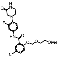 COCCOCOc1ccc(Cl)cc1C(=O)Nc1ccc(N2CCNC(=O)C2)c(F)c1